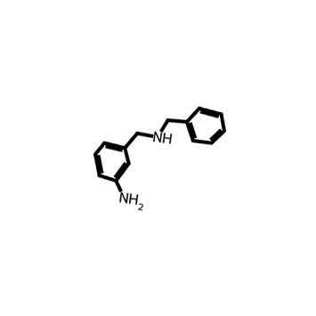 Nc1cccc(CNCc2ccccc2)c1